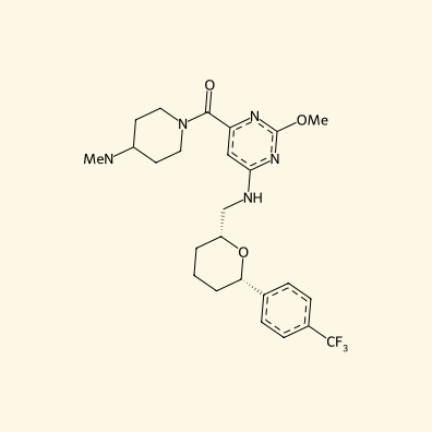 CNC1CCN(C(=O)c2cc(NC[C@H]3CCC[C@@H](c4ccc(C(F)(F)F)cc4)O3)nc(OC)n2)CC1